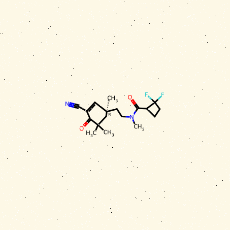 CN(CC[C@]1(C)C=C(C#N)C(=O)C(C)(C)C1)C(=O)C1CCC1(F)F